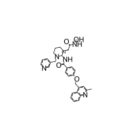 Cc1cc(COc2ccc(C(=O)NC3[C@H](CC(=O)NO)CCCN3Cc3cccnc3)cc2)c2ccccc2n1